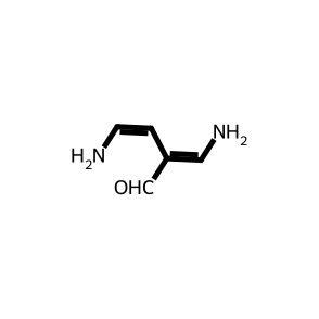 N/C=C\C(C=O)=C/N